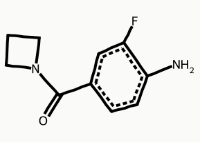 Nc1ccc(C(=O)N2CCC2)cc1F